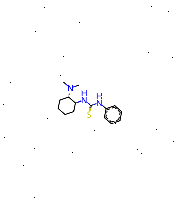 CN(C)[C@H]1CCCC[C@@H]1NC(=S)Nc1ccccc1